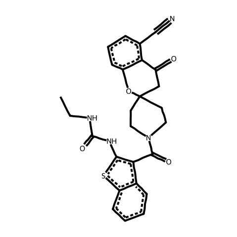 CCNC(=O)Nc1sc2ccccc2c1C(=O)N1CCC2(CC1)CC(=O)c1c(C#N)cccc1O2